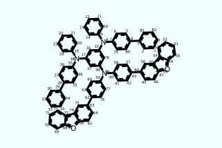 c1ccc(-c2ccc(N(c3ccccc3)c3cc(N(c4ccccc4)c4ccc(-c5ccccc5)cc4)cc(N(c4ccc(-c5ccc6oc7ccccc7c6c5)cc4)c4ccc(-c5ccc6oc7ccccc7c6c5)cc4)c3)cc2)cc1